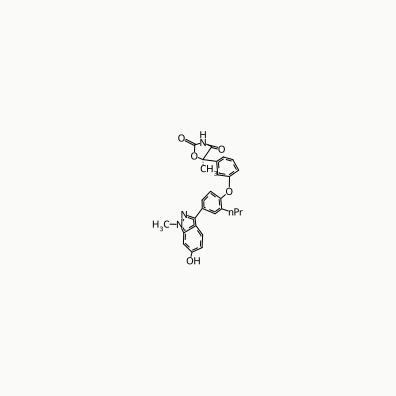 CCCc1cc(-c2nn(C)c3cc(O)ccc23)ccc1Oc1cccc([C@@]2(C)OC(=O)NC2=O)c1